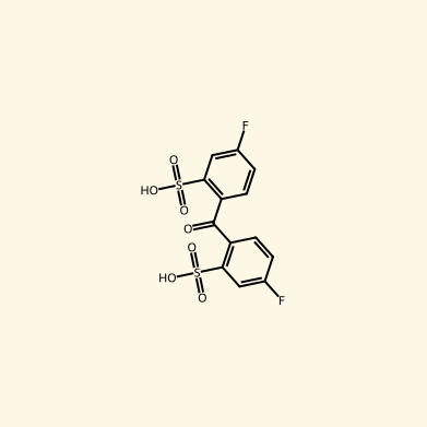 O=C(c1ccc(F)cc1S(=O)(=O)O)c1ccc(F)cc1S(=O)(=O)O